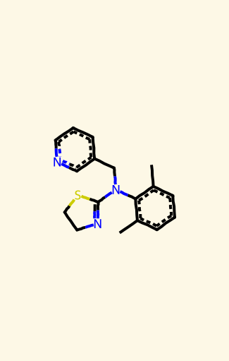 Cc1cccc(C)c1N(Cc1cccnc1)C1=NCCS1